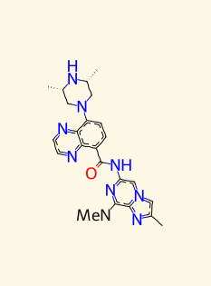 CNc1nc(NC(=O)c2ccc(N3C[C@@H](C)N[C@@H](C)C3)c3nccnc23)cn2cc(C)nc12